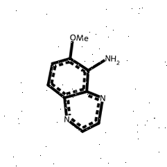 COc1ccc2nccnc2c1N